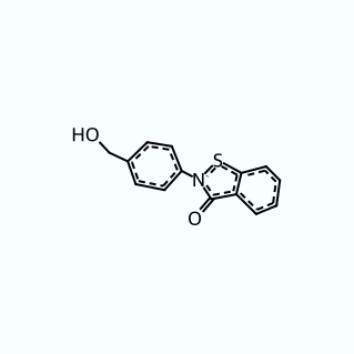 O=c1c2ccccc2sn1-c1ccc(CO)cc1